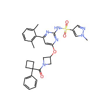 Cc1cccc(C)c1-c1cc(OC2CN(C(=O)C3(c4ccccc4)CCC3)C2)nc(NS(=O)(=O)c2cnn(C)c2)n1